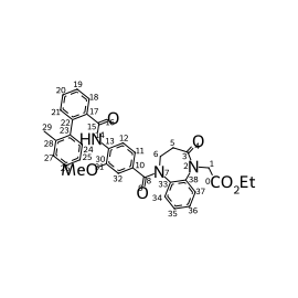 CCOC(=O)CN1C(=O)CCN(C(=O)c2ccc(NC(=O)c3ccccc3-c3ccccc3C)c(OC)c2)c2ccccc21